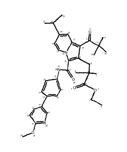 CCOC(=O)C(C)(C)Cc1c(C(=O)C(C)(C)C)c2cc(C(C)C)ccn2c1C(=O)Nc1ccc(-c2ccc(OC)nc2)cc1